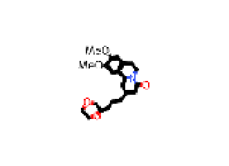 COc1cc2c(cc1OC)-c1cc(CCCC3COCCO3)cc(=O)n1CC2